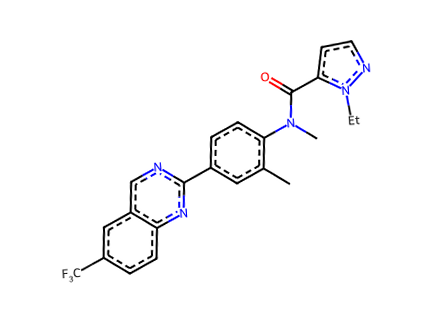 CCn1nccc1C(=O)N(C)c1ccc(-c2ncc3cc(C(F)(F)F)ccc3n2)cc1C